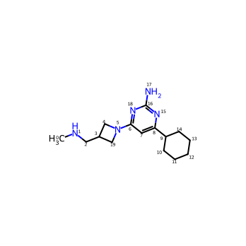 CNCC1CN(c2cc(C3CCCCC3)nc(N)n2)C1